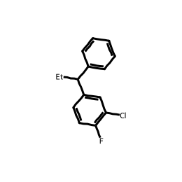 [CH2]CC(c1ccccc1)c1ccc(F)c(Cl)c1